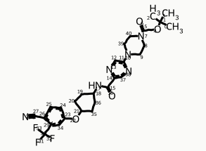 CC(C)(C)OC(=O)N1CCN(c2cnc(C(=O)NC3CCC(Oc4ccc(C#N)c(C(F)(F)F)c4)CC3)cn2)CC1